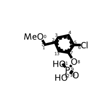 CO[C]c1ccc(Cl)c(OP(=O)(O)O)c1